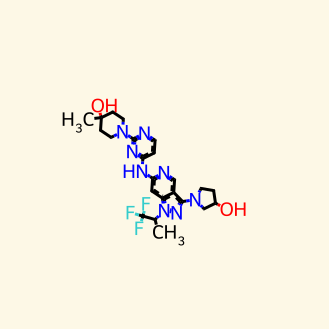 CC(n1nc(N2CCC(O)C2)c2cnc(Nc3ccnc(N4CCC(C)(O)CC4)n3)cc21)C(F)(F)F